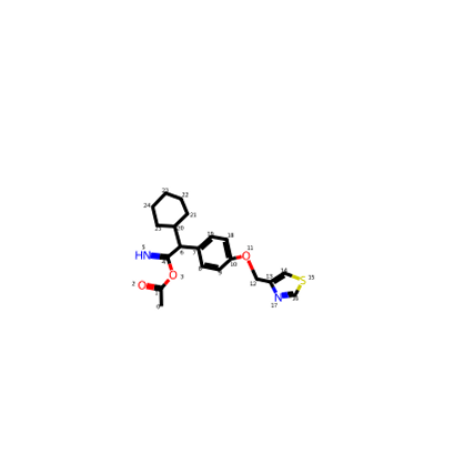 CC(=O)OC(=N)C(c1ccc(OCc2cscn2)cc1)C1CCCCC1